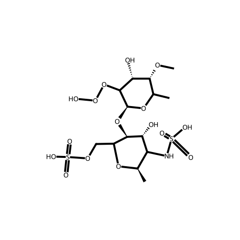 CO[C@@H]1C(C)O[C@@H](O[C@@H]2C(COS(=O)(=O)O)O[C@H](C)C(NS(=O)(=O)O)[C@H]2O)C(OOO)[C@@H]1O